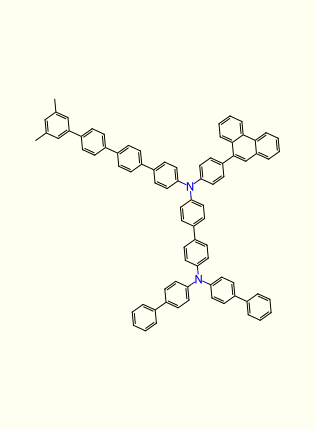 Cc1cc(C)cc(-c2ccc(-c3ccc(-c4ccc(N(c5ccc(-c6ccc(N(c7ccc(-c8ccccc8)cc7)c7ccc(-c8ccccc8)cc7)cc6)cc5)c5ccc(-c6cc7ccccc7c7ccccc67)cc5)cc4)cc3)cc2)c1